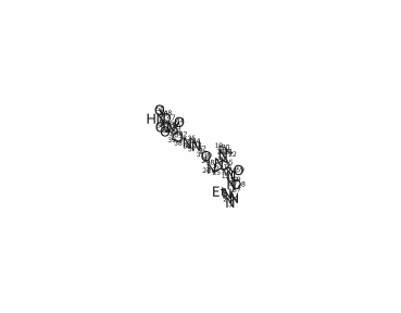 CCn1cnnc1-c1cccc(N2Cc3c(cc(N4CCC[C@H]4C)nc3CN(C)CCOCCN3CCN(c4ccc5c(c4)C(=O)N(C4CCC(=O)NC4=O)C5=O)CC3)C2=O)n1